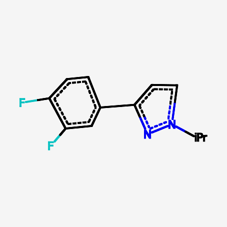 CC(C)n1ccc(-c2ccc(F)c(F)c2)n1